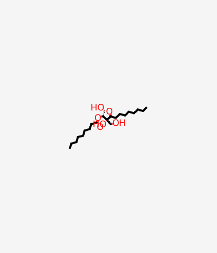 CCCCCCCCC(=O)O[C@H](CO)[C@@](O)(CO)C(=O)CCCCCCCC